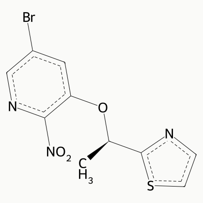 C[C@@H](Oc1cc(Br)cnc1[N+](=O)[O-])c1nccs1